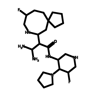 NC(N)C(C(=O)NC1CNCC(F)C1N1CCCC1)C1CC2(CCCC2)CCC(F)CN1